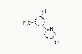 FC(F)(F)c1cc(Cl)cc(-c2ccc(Cl)nn2)c1